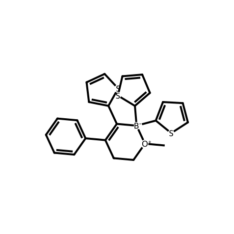 C[O+]1CCC(c2ccccc2)=C(c2cccs2)[B-]1(c1cccs1)c1cccs1